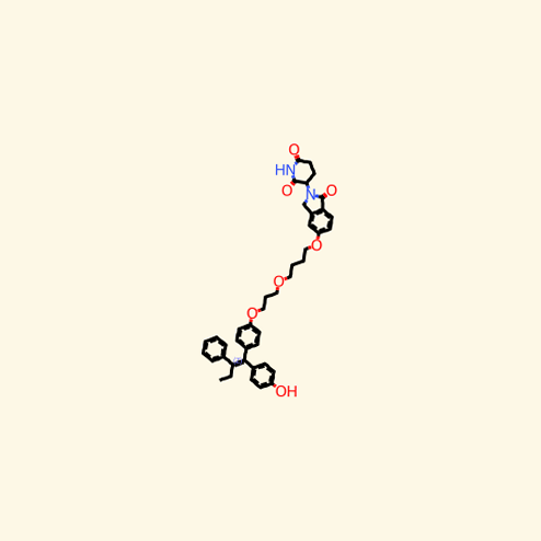 CC/C(=C(\c1ccc(O)cc1)c1ccc(OCCCOCCCCOc2ccc3c(c2)CN(C2CCC(=O)NC2=O)C3=O)cc1)c1ccccc1